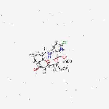 CCCCOC(=O)c1nc(Cl)ccc1N[C@H](C)c1cc(C)cc2c(=O)c(C)c(C34CC(C(F)(F)F)(C3)C4)oc12